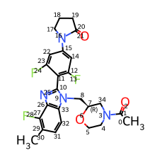 CC(=O)N1CCO[C@@H](Cn2c(-c3c(F)cc(N4CCCC4=O)cc3F)nc3c(F)c(C)ccc32)C1